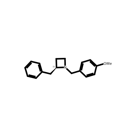 COc1ccc(CN2CC[C@@H]2Cc2ccccc2)cc1